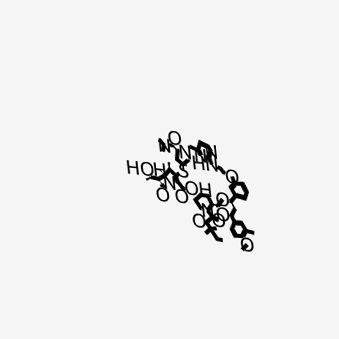 CCC(C)(C)C(=O)C(=O)N1CCCC[C@H]1C(=O)O[C@H](CCc1ccc(OC)c(C)c1)c1cccc(OCCNc2nccc(CN3C[C@@H](SC4=C(C(=O)O)N5C(=O)[C@H]([C@@H](C)O)[C@H]5[C@H]4C)C[C@H]3C(=O)N(C)C)n2)c1